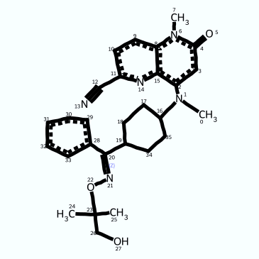 CN(c1cc(=O)n(C)c2ccc(C#N)nc12)C1CCC(/C(=N/OC(C)(C)CO)c2ccccc2)CC1